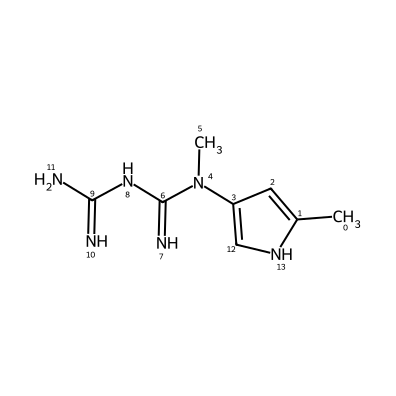 Cc1cc(N(C)C(=N)NC(=N)N)c[nH]1